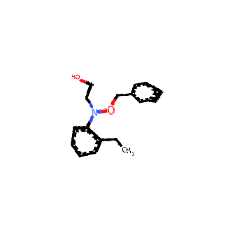 CCc1ccccc1N(CCO)OCc1ccccc1